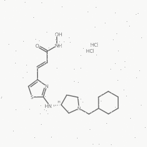 Cl.Cl.O=C(C=Cc1csc(N[C@@H]2CCN(CC3CCCCC3)C2)n1)NO